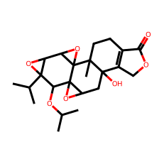 CC(C)OC1C2(C(C)C)OC2C2OC23C12OC2CC1(O)C2=C(CCC13C)C(=O)OC2